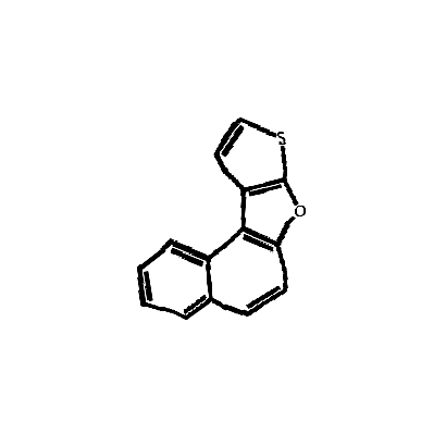 c1ccc2c(c1)ccc1oc3sccc3c12